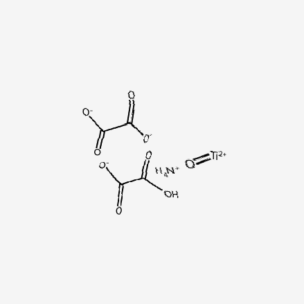 O=C([O-])C(=O)O.O=C([O-])C(=O)[O-].[NH4+].[O]=[Ti+2]